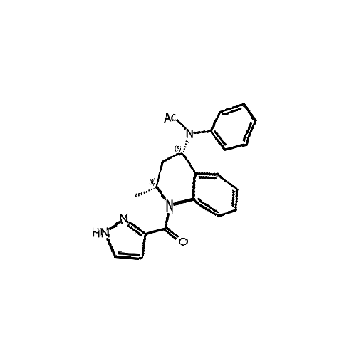 CC(=O)N(c1ccccc1)[C@H]1C[C@@H](C)N(C(=O)c2cc[nH]n2)c2ccccc21